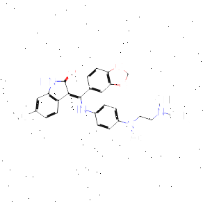 CC(=O)N(CCN(C)C)c1ccc(NC(=C2C(=O)Nc3cc(C#N)ccc32)c2ccc3c(c2)OCO3)cc1